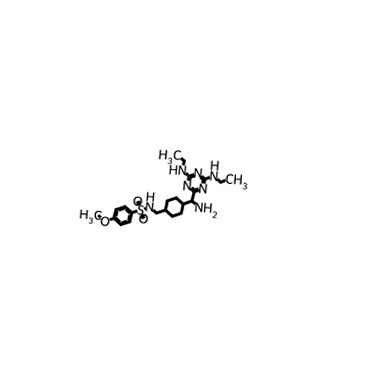 CCNc1nc(NCC)nc(C(N)C2CCC(CNS(=O)(=O)c3ccc(OC)cc3)CC2)n1